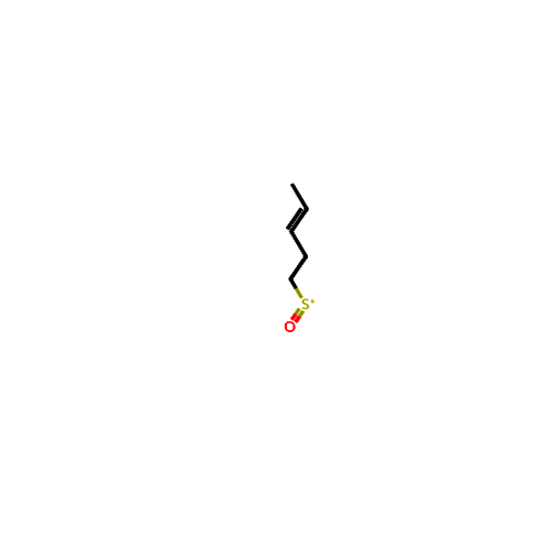 CC=CCC[S+]=O